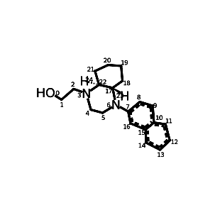 OCCN1CCN(c2ccc3ccccc3c2)[C@H]2CCCC[C@@H]21